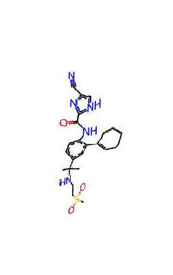 CC(C)(NCCS(C)(=O)=O)c1ccc(NC(=O)c2nc(C#N)c[nH]2)c(C2=CCCCC2)c1